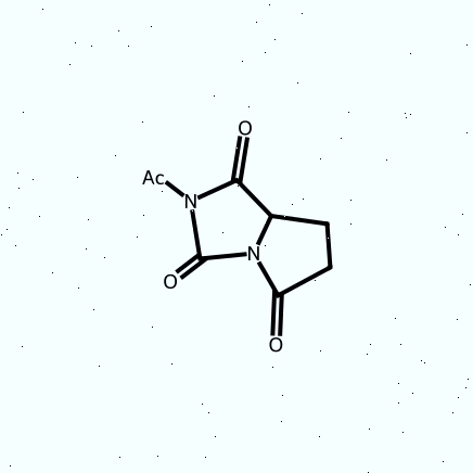 CC(=O)N1C(=O)C2CCC(=O)N2C1=O